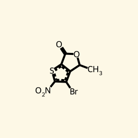 CC1OC(=O)c2sc([N+](=O)[O-])c(Br)c21